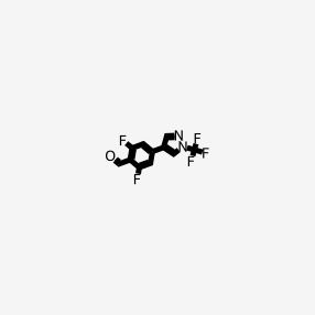 O=Cc1c(F)cc(-c2cnn(C(F)(F)F)c2)cc1F